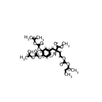 CC[C@H](C)OC(=O)OCC[C@@](N)(Cc1ccc(OC(=O)OC(C)C)c(OC(=O)OC(C)C)c1)C(=O)OC